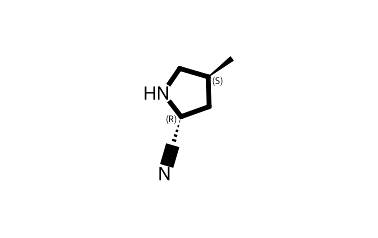 C[C@@H]1CN[C@@H](C#N)C1